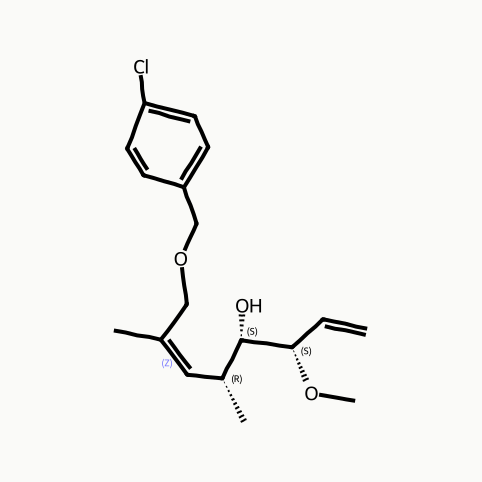 C=C[C@H](OC)[C@@H](O)[C@H](C)/C=C(/C)COCc1ccc(Cl)cc1